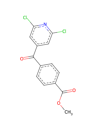 COC(=O)c1ccc(C(=O)c2cc(Cl)nc(Cl)c2)cc1